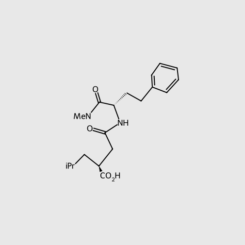 CNC(=O)[C@H](CCc1ccccc1)NC(=O)C[C@H](CC(C)C)C(=O)O